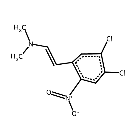 CN(C)/C=C/c1cc(Cl)c(Cl)cc1[N+](=O)[O-]